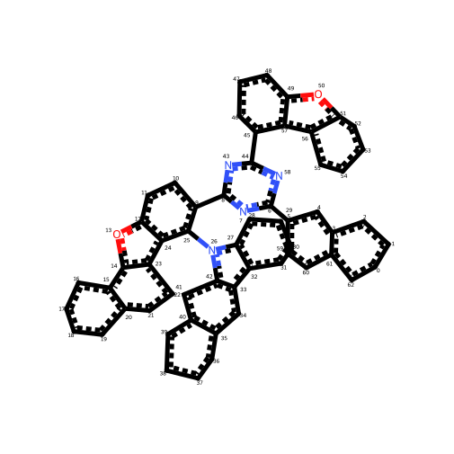 c1ccc2cc(-c3nc(-c4ccc5oc6c7ccccc7ccc6c5c4-n4c5ccccc5c5cc6ccccc6cc54)nc(-c4cccc5oc6ccccc6c45)n3)ccc2c1